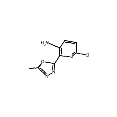 Cc1nnc(-c2nc(Cl)ccc2N)o1